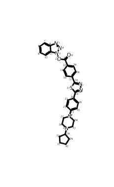 O=C(On1nnc2ccccc21)c1ccc(-c2nnc(-c3ccc(N4CCN(C5CCCC5)CC4)cc3)s2)cc1